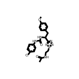 COc1ccc(CC(NC(=O)Nc2ccc(Cl)cc2)c2nnn(CCNC(C)=O)n2)cc1